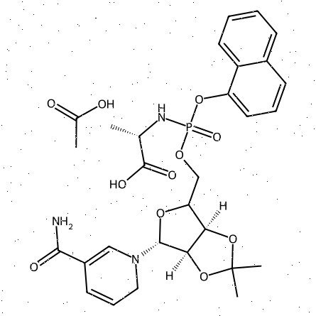 CC(=O)O.C[C@H](NP(=O)(OCC1O[C@@H](N2C=C(C(N)=O)C=CC2)[C@@H]2OC(C)(C)O[C@H]12)Oc1cccc2ccccc12)C(=O)O